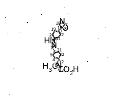 CN(Cc1ccc(C=NNc2ccc(-c3cnco3)cc2)cc1)C(=O)O